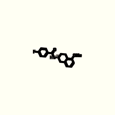 COc1cccc2c1CC[C@@H](NC(=O)c1ccc(F)cc1)C2